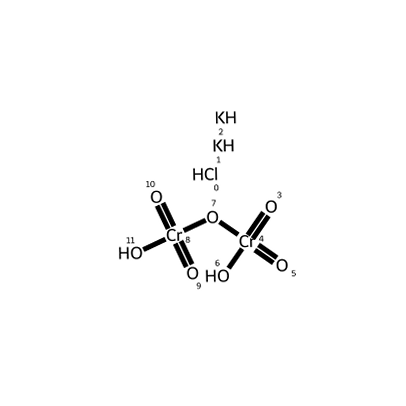 Cl.[KH].[KH].[O]=[Cr](=[O])([OH])[O][Cr](=[O])(=[O])[OH]